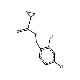 O=C(SCc1ccc(Cl)cc1Cl)C1CC1